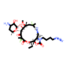 CC[C@H]1OC(=O)C(C)(F)C(=O)[C@H](C)[C@@H](O[C@@H]2O[C@H](C)CC(N)C2O)[C@](C)(OC)CC(C)(F)CN[C@H](C)[C@H]2N(CCCCN=[N+]=[N-])C(=O)O[C@]12C